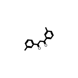 Cc1cccc(C(=O)CC(=O)c2cccc(C)c2)c1